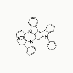 c1ccc(-n2c3ccccc3c3c4c5ccccc5n(-c5ccccc5)c4c(-n4c5ccccc5c5ccccc54)cc32)cc1